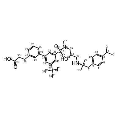 CC(C)c1ccc(CC(C)(C)NCC(O)CN(C)S(=O)(=O)c2cc(-c3cccc(CCC(=O)O)c3)cc(C(F)(F)F)c2)cc1